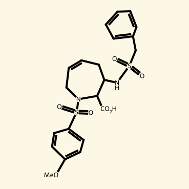 COc1ccc(S(=O)(=O)N2CC=CCC(NS(=O)(=O)Cc3ccccc3)C2C(=O)O)cc1